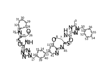 Cc1nc(C(=O)N[C@H]2COc3cc(-c4ccc(Cn5nnc(C(=O)N[C@H]6COc7ccccc7N(C)C6=S)n5)cc4)cnc3N(C)C2=S)nn1Cc1ccccc1